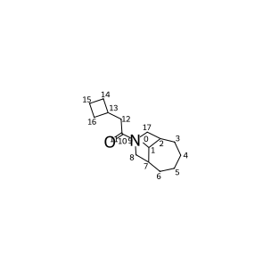 CC1C2CCCCC1CN(C(=O)CC1CCC1)C2